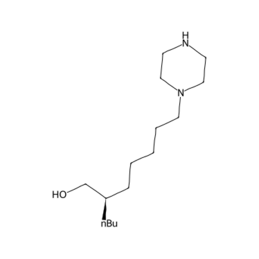 CCCC[C@@H](CO)CCCCCN1CCNCC1